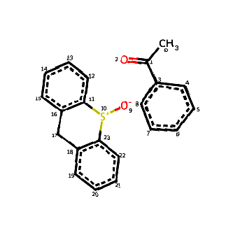 CC(=O)c1ccccc1.[O-][S+]1c2ccccc2Cc2ccccc21